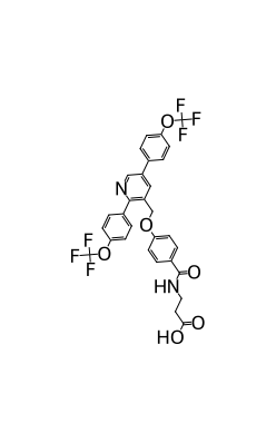 O=C(O)CCNC(=O)c1ccc(OCc2cc(-c3ccc(OC(F)(F)F)cc3)cnc2-c2ccc(OC(F)(F)F)cc2)cc1